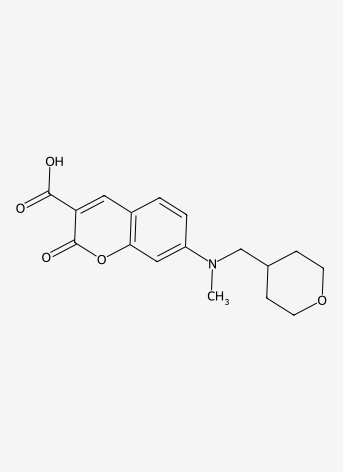 CN(CC1CCOCC1)c1ccc2cc(C(=O)O)c(=O)oc2c1